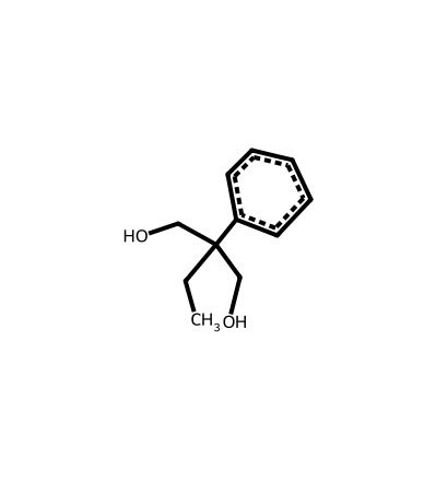 CCC(CO)(CO)c1ccccc1